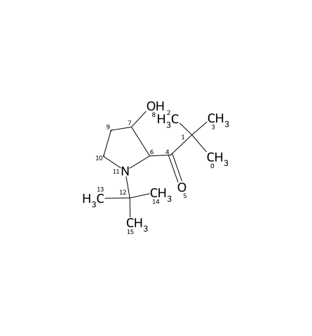 CC(C)(C)C(=O)C1C(O)CCN1C(C)(C)C